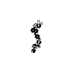 O=C1CCC(N2C(=O)c3cccc4c(Cc5ccc(CN6CCN(C(=O)c7ccnc(-n8ccnc8)n7)CC6)cc5)ccc2c34)C(=O)N1